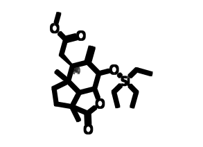 C=C1C(O[Si](CC)(CC)CC)C2OC(=O)C3(C)CCC(C)(C23)[C@H]1CC(=O)OC